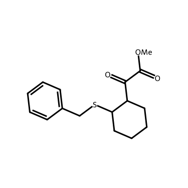 COC(=O)C(=O)C1CCCCC1SCc1ccccc1